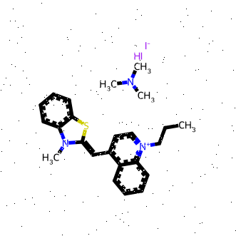 CCC[n+]1ccc(C=C2Sc3ccccc3N2C)c2ccccc21.CN(C)C.I.[I-]